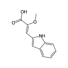 COC(=Cc1cc2ccccc2[nH]1)C(=O)O